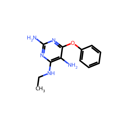 CCNc1nc(N)nc(Oc2ccccc2)c1N